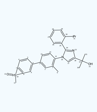 Cc1cc(-c2ccc3c(c2)[SH]3(C)=O)ccc1-n1cc(C(C)(C)O)nc1-c1ccccc1C(C)C